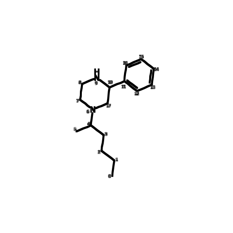 CCCCC(C)N1CCNC(c2ccccc2)C1